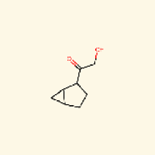 O=C(CO)C1CCC2CC21